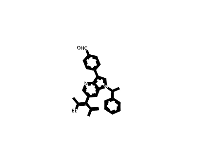 C=C(C)/C(=C(/C)CC)c1cnc2c(-c3ccc(C=O)cc3)cn(C(C)c3ccccc3)c2c1